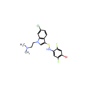 CN(C)CCn1cc(SNc2cc(F)c(Br)cc2F)c2ccc(Cl)cc21